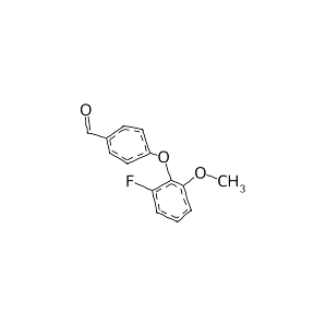 COc1cccc(F)c1Oc1ccc(C=O)cc1